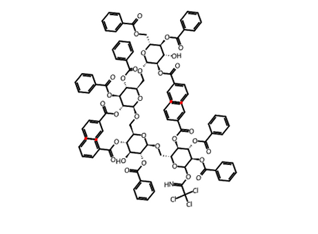 N=C(OC1O[C@H](CO[C@@H]2O[C@H](CO[C@@H]3O[C@H](CO[C@@H]4O[C@H](COC(=O)c5ccccc5)[C@@H](OC(=O)c5ccccc5)[C@H](O)[C@H]4OC(=O)c4ccccc4)[C@@H](OC(=O)c4ccccc4)[C@H](OC(=O)c4ccccc4)[C@H]3OC(=O)c3ccccc3)[C@@H](OC(=O)c3ccccc3)[C@H](O)[C@H]2OC(=O)c2ccccc2)[C@@H](OC(=O)c2ccccc2)[C@H](OC(=O)c2ccccc2)[C@H]1OC(=O)c1ccccc1)C(Cl)(Cl)Cl